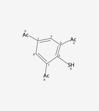 CC(=O)c1cc(C(C)=O)c(S)c(C(C)=O)c1